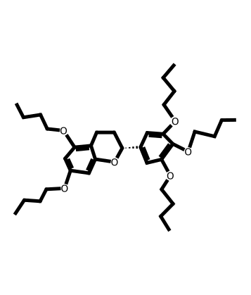 CCCCOc1cc(OCCCC)c2c(c1)O[C@@H](c1cc(OCCCC)c(OCCCC)c(OCCCC)c1)CC2